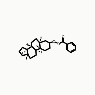 C[C@@]12CCC[C@H]1[C@@H]1CC[C@@H]3CC(OOC(=O)c4ccccc4)CC[C@]3(C)[C@H]1CC2